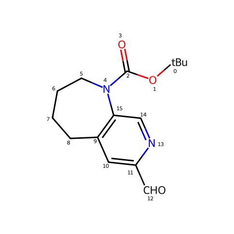 CC(C)(C)OC(=O)N1CCCCc2cc(C=O)ncc21